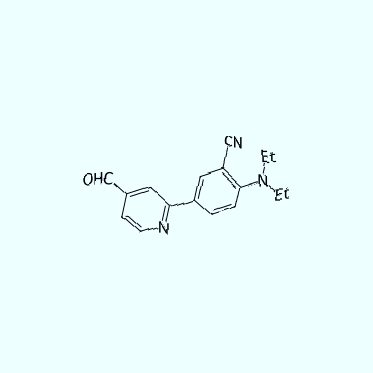 CCN(CC)c1ccc(-c2cc(C=O)ccn2)cc1C#N